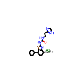 COc1ccc(-c2ccccc2)c2sc(NC(=O)NCCc3ncc[nH]3)nc12.Cl